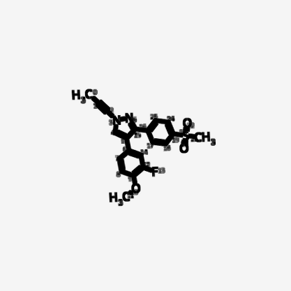 CC#Cn1cc(-c2ccc(OC)c(F)c2)c(-c2ccc(S(C)(=O)=O)cc2)n1